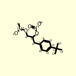 C[N+](=O)OCC(Cc1ccc(C(C)(C)C)cc1)O[N+](=O)[O-]